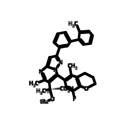 Cc1ccccc1-c1cccc(-c2cc3nc(C)c([C@](C)(OC(C)(C)C)C(=O)O)c(-c4cc(F)c5c(c4C)CCCO5)n3n2)c1